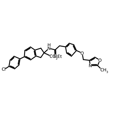 CCOC(=O)C1(NC(=O)Cc2ccc(OCc3coc(C)n3)cc2)Cc2ccc(-c3ccc(Cl)cc3)cc2C1